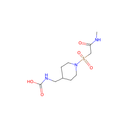 CNC(=O)CS(=O)(=O)N1CCC(CNC(=O)O)CC1